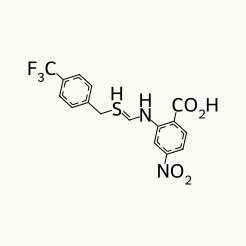 O=C(O)c1ccc([N+](=O)[O-])cc1NC=[SH]Cc1ccc(C(F)(F)F)cc1